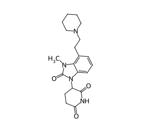 Cn1c(=O)n(C2CCC(=O)NC2=O)c2cccc(CCN3CCCCC3)c21